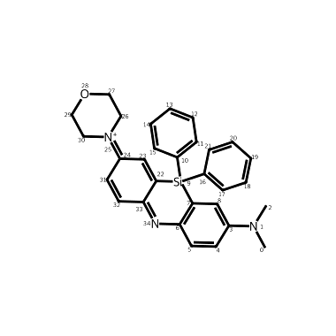 CN(C)c1ccc2c(c1)[Si](c1ccccc1)(c1ccccc1)C1=CC(=[N+]3CCOCC3)C=CC1=N2